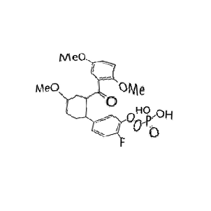 COc1ccc(OC)c(C(=O)C2CC(OC)CCC2c2ccc(F)c(OOP(=O)(O)O)c2)c1